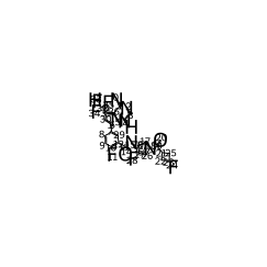 Nc1ncnn2c(-c3ccc(F)c(C(=O)N[C@@H]4CN(C(=O)C5CC(F)C5)C[C@@H]4F)c3)cc(C(F)(F)F)c12